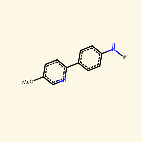 COc1ccc(-c2ccc(NC(C)C)cc2)nc1